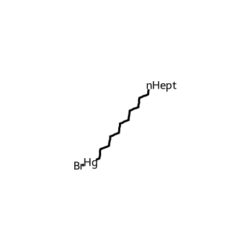 CCCCCCCCCCCCCCCCC[CH2][Hg][Br]